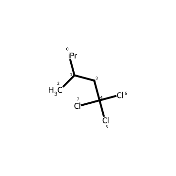 CC(C)C(C)CC(Cl)(Cl)Cl